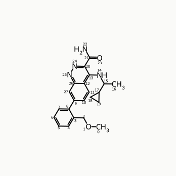 COCc1ccccc1-c1ccc2c(NC(C)C3CC3)c(C(N)=O)nnc2c1